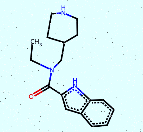 CCN(CC1CCNCC1)C(=O)c1cc2ccccc2[nH]1